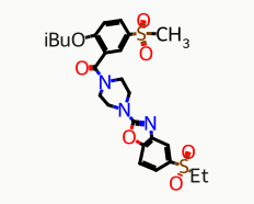 CCS(=O)(=O)c1ccc2oc(N3CCN(C(=O)c4cc(S(C)(=O)=O)ccc4OCC(C)C)CC3)nc2c1